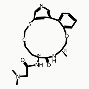 C[C@@H]1COc2ccccc2-c2cncc(c2)SCCCC[C@H](NC(=O)CN(C)C)C(=O)N1